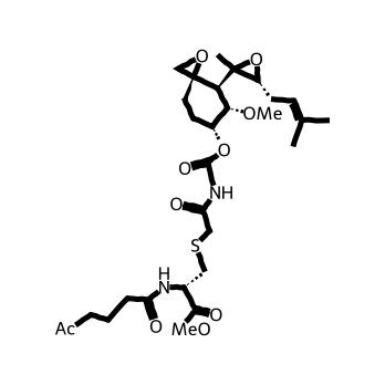 COC(=O)[C@@H](CSCC(=O)NC(=O)O[C@@H]1CC[C@]2(CO2)[C@@H](C2(C)O[C@@H]2CC=C(C)C)[C@@H]1OC)NC(=O)CCCC(C)=O